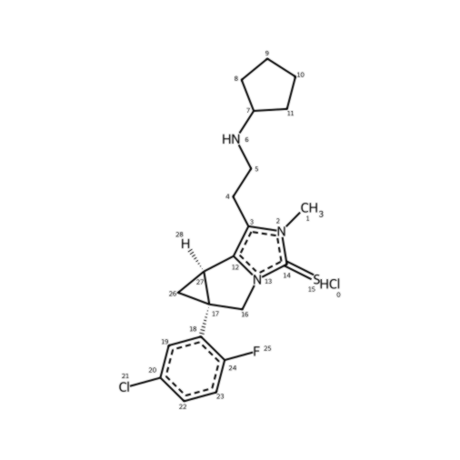 Cl.Cn1c(CCNC2CCCC2)c2n(c1=S)C[C@@]1(c3cc(Cl)ccc3F)C[C@@H]21